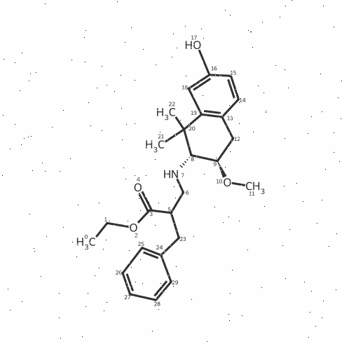 CCOC(=O)C(CN[C@H]1[C@H](OC)Cc2ccc(O)cc2C1(C)C)Cc1ccccc1